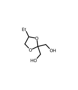 CCC1COC(CO)(CO)O1